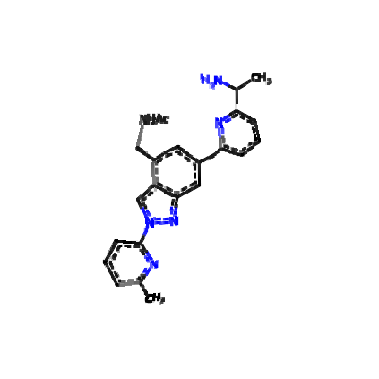 CC(=O)NCc1cc(-c2cccc(C(C)N)n2)cc2nn(-c3cccc(C)n3)cc12